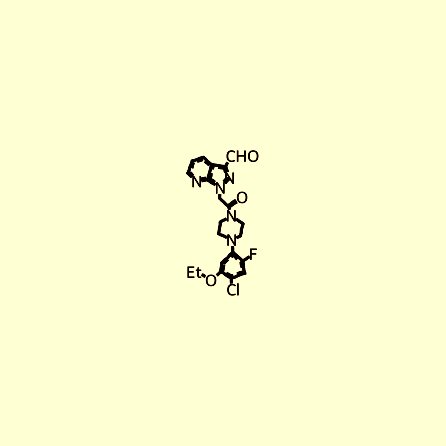 CCOc1cc(N2CCN(C(=O)Cn3nc(C=O)c4cccnc43)CC2)c(F)cc1Cl